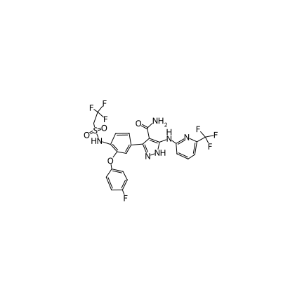 NC(=O)c1c(-c2ccc(NS(=O)(=O)CC(F)(F)F)c(Oc3ccc(F)cc3)c2)n[nH]c1Nc1cccc(C(F)(F)F)n1